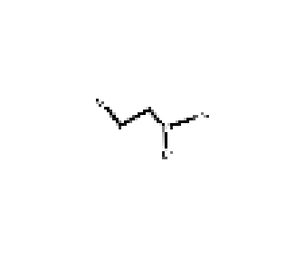 CCCN(Br)CCBr